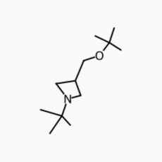 CC(C)(C)OCC1CN(C(C)(C)C)C1